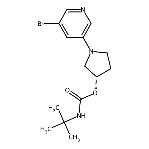 CC(C)(C)NC(=O)O[C@H]1CCN(c2cncc(Br)c2)C1